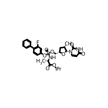 CC(C)OC(=O)[C@H](C)NP(=O)(OC[C@@H]1C[C@H](C)[C@H](n2ccc(=O)[nH]c2=O)O1)Oc1ccc(-c2ccccc2)c(F)c1